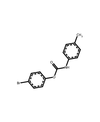 Cc1ccc(NC(=O)Oc2ccc(Br)cc2)cc1